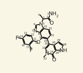 CC(C(N)=O)n1cnc2c(Oc3ccc(F)cc3F)c(-c3cn(C)c(=O)c4[nH]ccc34)ccc21